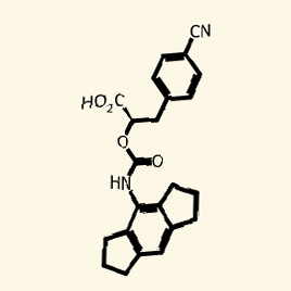 N#Cc1ccc(C[C@@H](OC(=O)Nc2c3c(cc4c2CCC4)CCC3)C(=O)O)cc1